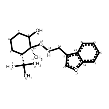 CC(C)(C)[C@@H]1CCCC(O)[C@@]1(C)OBCc1coc2ccccc12